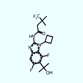 CC(C)(O)c1c(F)cc2nc(NC(=O)CC(C)(C)C(F)(F)F)n(C3CCC3)c2c1F